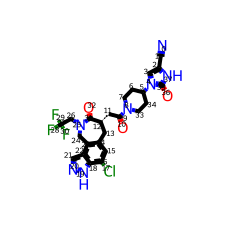 N#Cc1cn(C2CCN(C(=O)C[C@@H]3Cc4cc(Cl)c5[nH]ncc5c4CN(CC(F)(F)F)C3=O)CC2)c(=O)[nH]1